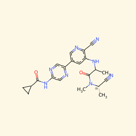 CC(Nc1cc(-c2cnc(NC(=O)C3CC3)cn2)cnc1C#N)C(=O)N(C)[C@@H](C)C#N